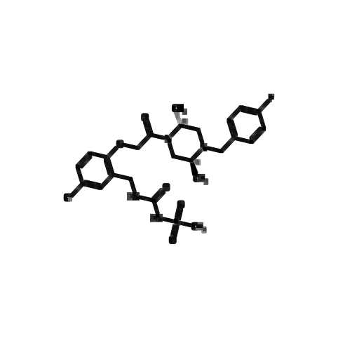 C[C@@H]1CN(Cc2ccc(F)cc2)[C@@H](C)CN1C(=O)COc1ccc(Cl)cc1CNC(=O)NS(C)(=O)=O